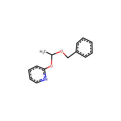 CC(OCc1ccccc1)Oc1ccccn1